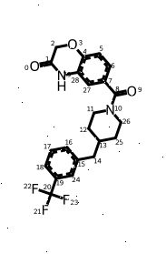 O=C1COc2ccc(C(=O)N3CCC(Cc4cccc(C(F)(F)F)c4)CC3)cc2N1